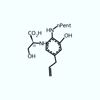 C=CCc1ccc(NCCCCC)c(O)c1.N[C@@H](CO)C(=O)O